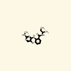 CCC(C)NC(=O)c1ccccc1Nc1nc(NC)ncc1Br